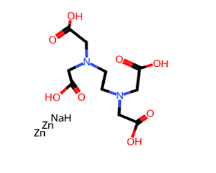 O=C(O)CN(CCN(CC(=O)O)CC(=O)O)CC(=O)O.[NaH].[Zn].[Zn]